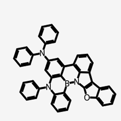 c1ccc(N(c2ccccc2)c2cc3c4c(c2)N(c2ccccc2)c2ccccc2B4n2c4oc5ccccc5c4c4cccc-3c42)cc1